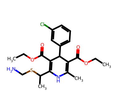 CCOC(=O)C1=C(C)NC(C(C)SCN)=C(C(=O)OCC)C1c1cccc(Cl)c1